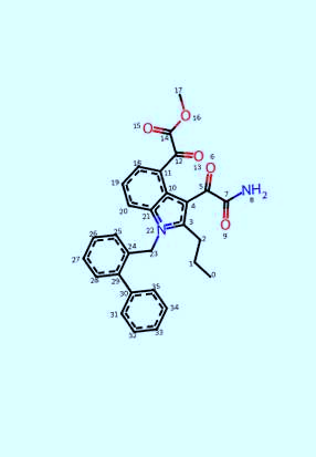 CCCc1c(C(=O)C(N)=O)c2c(C(=O)C(=O)OC)cccc2n1Cc1ccccc1-c1ccccc1